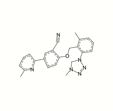 Cc1cccc(-c2ccc(OCc3c(C)cccc3N3CN(C)N=N3)c(C#N)c2)n1